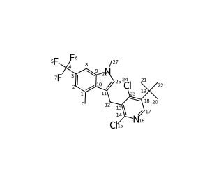 Cc1cc(C(F)(F)F)cc2c1c(Cc1c(Cl)ncc(C(C)(C)C)c1Cl)cn2C